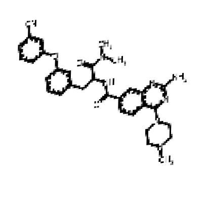 CN1CCN(c2nc(N)nc3cc(C(=O)NC(Cc4cccc(Oc5cccc(C#N)c5)c4)C(=O)N(C)C)ccc23)CC1